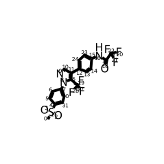 CS(=O)(=O)c1ccc(-n2ncc(-c3ccc(NC(=O)C(F)(F)F)cc3)c2C(F)(F)F)cc1